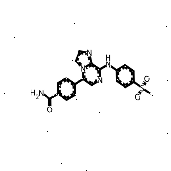 CS(=O)(=O)c1ccc(Nc2ncc(-c3ccc(C(N)=O)cc3)n3ccnc23)cc1